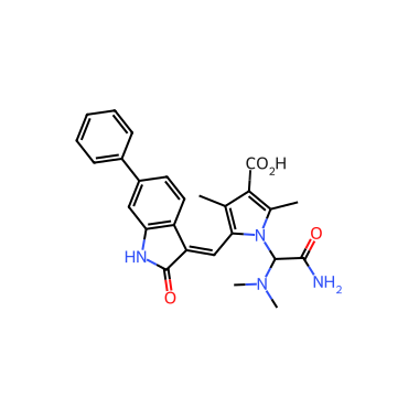 Cc1c(C(=O)O)c(C)n(C(C(N)=O)N(C)C)c1C=C1C(=O)Nc2cc(-c3ccccc3)ccc21